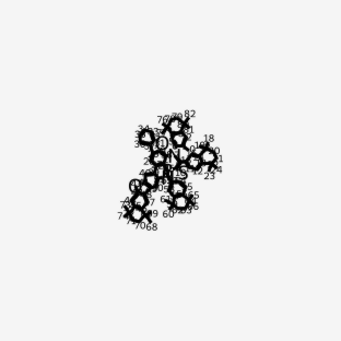 Cc1cc2c(cc1N1c3c(sc4cc5c(cc34)C(C)(C)CCC5(C)C)B3c4c(cc5c(oc6ccccc65)c41)-c1cc4oc5cc6c(cc5c4cc1N3c1ccc3c(c1)C(C)(C)CCC3(C)C)C(C)(C)CCC6(C)C)C(C)(C)CCC2(C)C